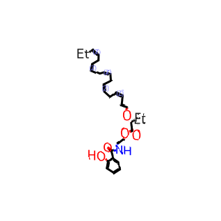 CC/C=C\C/C=C\C/C=C\C/C=C\C/C=C\CCOC(CC)C(=O)OCCNC(=O)c1ccccc1O